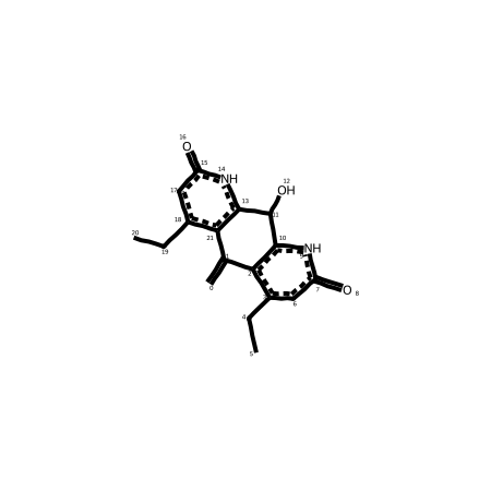 C=C1c2c(CC)cc(=O)[nH]c2C(O)c2[nH]c(=O)cc(CC)c21